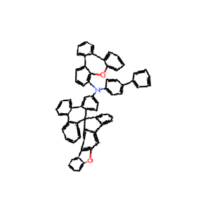 c1ccc(-c2ccc(N(c3ccc4c(c3)-c3ccccc3-c3ccccc3C43c4ccccc4-c4cc5oc6ccccc6c5cc43)c3cccc4c3Oc3ccccc3-c3ccccc3-4)cc2)cc1